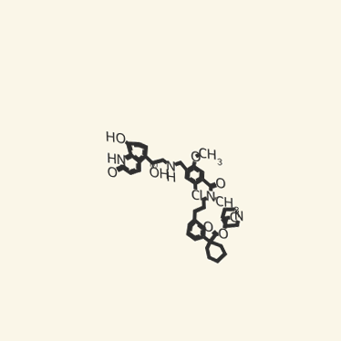 COc1cc(C(=O)N(C)CCCc2cccc(C3(C(=O)OC4CN5CCC4CC5)CCCCC3)c2)c(Cl)cc1CNC[C@H](O)c1ccc(O)c2[nH]c(=O)ccc12